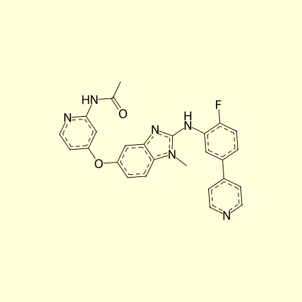 CC(=O)Nc1cc(Oc2ccc3c(c2)nc(Nc2cc(-c4ccncc4)ccc2F)n3C)ccn1